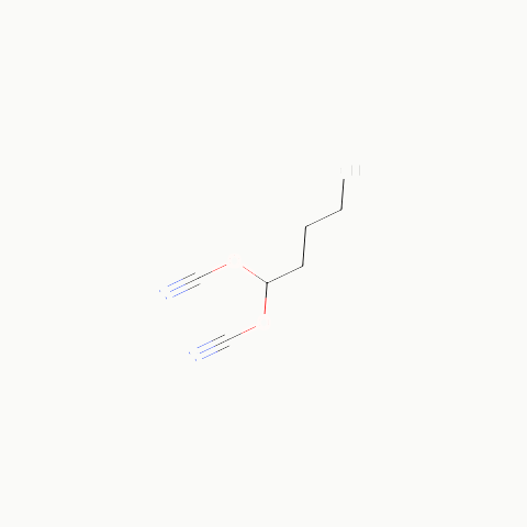 CCCCC(OC#N)OC#N